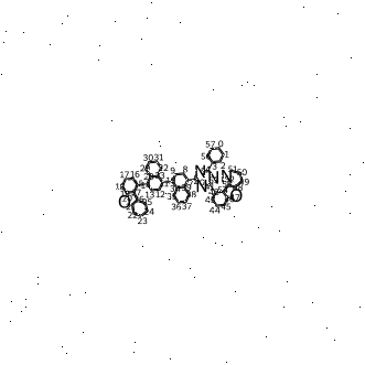 c1ccc(-c2nc(-c3ccc(-c4ccc(-c5cccc6oc7ccccc7c56)c5ccccc45)c4ccccc34)nc(-c3cccc4oc5cccnc5c34)n2)cc1